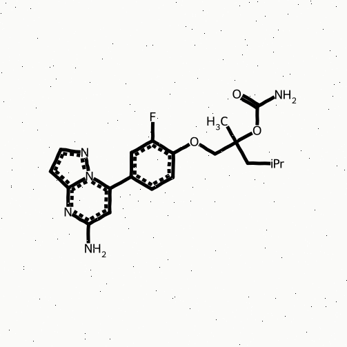 CC(C)CC(C)(COc1ccc(-c2cc(N)nc3ccnn23)cc1F)OC(N)=O